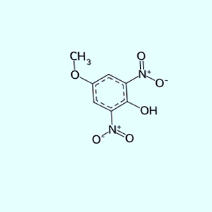 COc1cc([N+](=O)[O-])c(O)c([N+](=O)[O-])c1